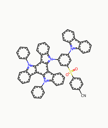 N#Cc1ccc(S(=O)(=O)c2cc(-n3c4ccccc4c4ccccc43)cc(-n3c4ccccc4c4c5c(c6ccccc6n5-c5ccccc5)c5c(c6ccccc6n5-c5ccccc5)c43)c2)cc1